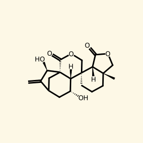 C=C1C2C[C@@H](O)[C@H]3[C@@]4(CCC[C@@]5(C)COC(=O)[C@H]54)COC(=O)[C@]3(C2)[C@@H]1O